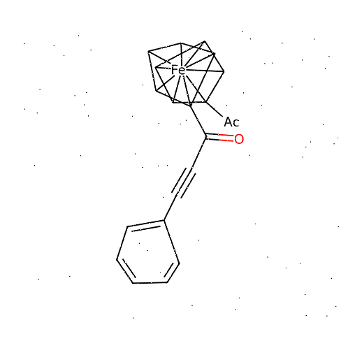 CC(=O)[C]12[CH]3[CH]4[CH]5[CH]1[Fe]45321678[CH]2[CH]1[CH]6[C]7(C(=O)C#Cc1ccccc1)[CH]28